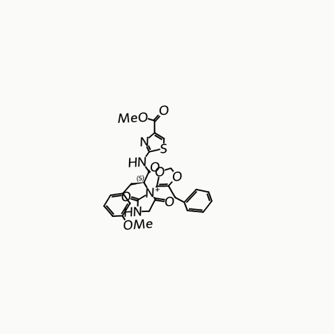 COC(=O)c1csc(NC(=O)[C@H](Cc2cccc(OC)c2)[N+]2(C3=C(Cc4ccccc4)OCO3)C(=O)CNC2=O)n1